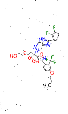 CCCOc1ccc(-c2cc(C(CCOCCO)(C(=O)O)N3Cc4nc(-c5cccc(F)c5F)[nH]c4C=N3)on2)c(C(F)(F)F)c1